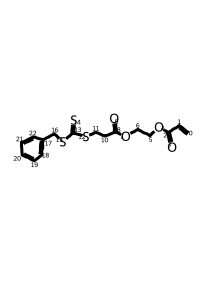 C=CC(=O)OCCOC(=O)CCSC(=S)SCc1ccccc1